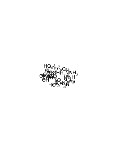 NCCOCCOCCO.Nc1nc2c(ncn2[C@H]2C[C@H](O)[C@@H](COP(=O)(O)OP(=O)(O)OP(=O)(O)O)O2)c(=O)[nH]1